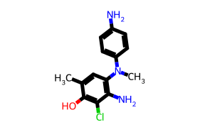 Cc1cc(N(C)c2ccc(N)cc2)c(N)c(Cl)c1O